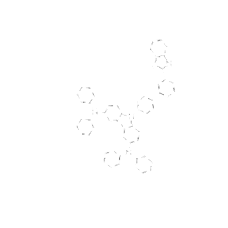 c1ccc(N(c2ccccc2)c2ccc3c(c2)c2cc(N(c4ccccc4)c4ccccc4)ccc2n3-c2ccc(-c3cccc(-c4nc5ccccc5o4)c3)cc2)cc1